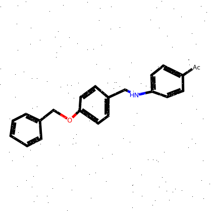 CC(=O)c1ccc(NCc2ccc(OCc3ccccc3)cc2)cc1